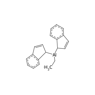 [CH2][CH2][Al]([CH]1C=Cc2ccccc21)[CH]1C=Cc2ccccc21